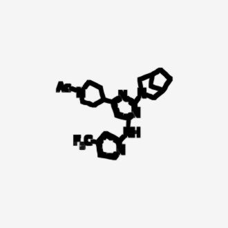 CC(=O)N1CCC(c2cc(Nc3cc(C(F)(F)F)ccn3)nc(N3CC4CCC(C4)C3)n2)CC1